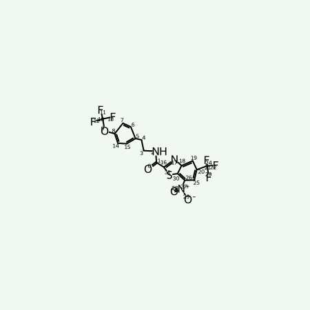 O=C(NCCc1ccc(OC(F)(F)F)cc1)c1nc2cc(C(F)(F)F)cc([N+](=O)[O-])c2s1